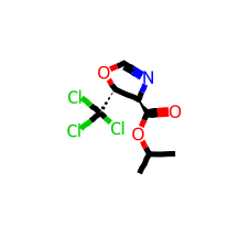 CC(C)OC(=O)[C@@H]1N=CO[C@H]1C(Cl)(Cl)Cl